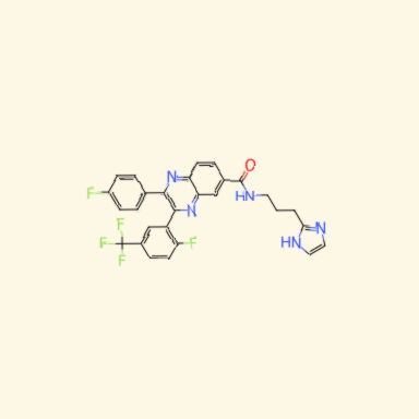 O=C(NCCCc1ncc[nH]1)c1ccc2nc(-c3ccc(F)cc3)c(-c3cc(C(F)(F)F)ccc3F)nc2c1